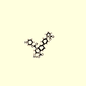 COC(=O)N1c2ccc(-c3ccc(N4CCCS4(=O)=O)cc3)cc2N(C(=O)OC2CCCNC2)C[C@@H]1C